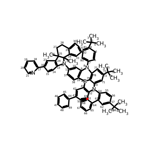 CC(C)(C)c1ccc(N2c3cc(N4c5ccc(-c6ccccn6)cc5C5(C)CCc6ccccc6C45C)ccc3B3c4cc(-c5ccccc5)ccc4N(c4ccc(C(C)(C)C)cc4-c4ccccc4)c4cc(C(C)(C)C)cc2c43)cc1